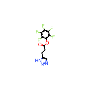 O=C(CCc1cnn[nH]1)Oc1c(F)c(F)c(F)c(F)c1F